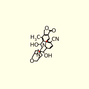 Cc1c([C@H](O)CN2CC3COCC(C2)N3CC(O)c2ccc(C#N)cn2)ccc2c1COC2=O